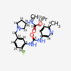 Cc1ccc(NC(=O)Nc2cc(CN3CC[C@@H](N(C)C(=O)OC(C)C)C3)ccc2F)cn1